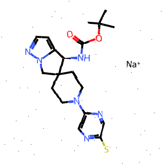 CC(C)(C)OC(=O)N[C@@H]1c2ccnn2CC12CCN(c1cnc([S-])cn1)CC2.[Na+]